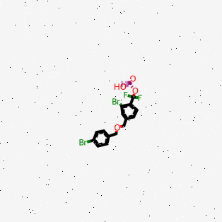 O=[PH](O)OC(F)(F)c1ccc(COCc2ccc(Br)cc2)cc1Br